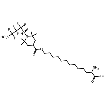 CCC(C)C(=O)C(N)CCCCCCCCCCCOC(=O)C1CC(C)(C)N(S(=O)(=O)C(F)(F)C(F)(F)C(F)(F)S(=O)(=O)O)C(C)(C)C1